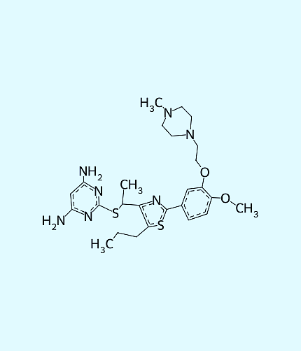 CCCc1sc(-c2ccc(OC)c(OCCN3CCN(C)CC3)c2)nc1C(C)Sc1nc(N)cc(N)n1